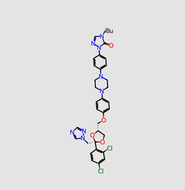 CCC(C)n1cnn(-c2ccc(N3CCN(c4ccc(OC[C@@H]5CO[C@@](Cn6cncn6)(c6ccc(Cl)cc6Cl)O5)cc4)CC3)cc2)c1=O